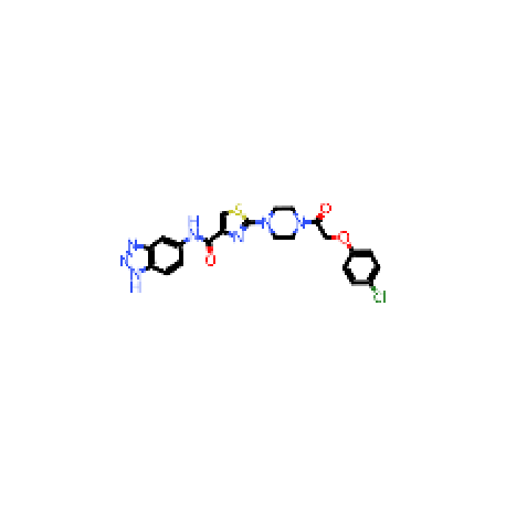 O=C(Nc1ccc2[nH]nnc2c1)c1csc(N2CCN(C(=O)COc3ccc(Cl)cc3)CC2)n1